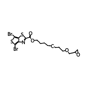 O=C(OCCCCCCCCOCC1CO1)c1nc2c(Br)sc(Br)c2s1